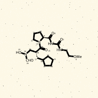 COCCNC(=O)NC(=O)[C@@H]1CCCN1C(=O)[C@H](CC1CCCC1)CN(O)C=O